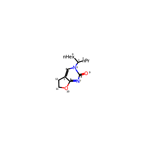 CCCCCCC(CCC)n1cc2c(nc1=O)OCC2